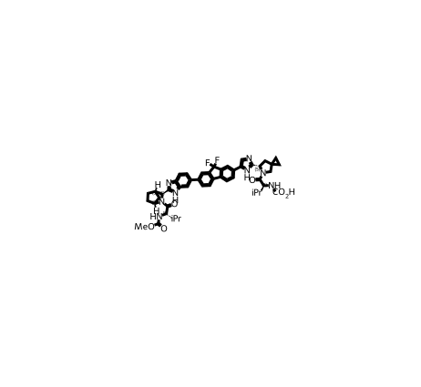 COC(=O)N[C@H](C(=O)N1[C@@H]2CC[C@@H](C2)[C@H]1c1nc2ccc(-c3ccc4c(c3)C(F)(F)c3cc(-c5cnc([C@@H]6CC7(CC7)CN6C(=O)[C@@H](NC(=O)O)C(C)C)[nH]5)ccc3-4)cc2[nH]1)C(C)C